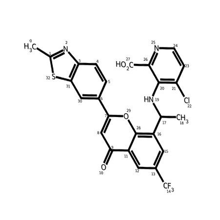 Cc1nc2ccc(-c3cc(=O)c4cc(C(F)(F)F)cc(C(C)Nc5c(Cl)ccnc5C(=O)O)c4o3)cc2s1